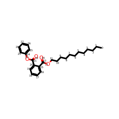 CCCCCCCCCCCCOC(=O)c1ccccc1C(=O)Oc1ccccc1